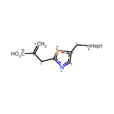 C=C(Cc1ncc(CCCCCCCC)s1)C(=O)O